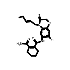 CCC=CCN1C(=O)COc2cc(Cl)c(NC(=O)C3=C(C(N)=O)CCCC3)cc21